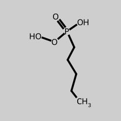 CCCCCP(=O)(O)OO